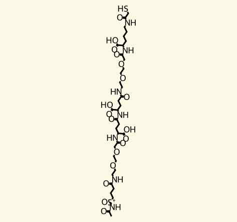 CC(=O)N[S+]([O-])CCCC(=O)NCCOCCOCC(=O)NC(CCC(=O)NC(CCC(=O)NCCOCCOCC(=O)NC(CCCCNC(=O)CS)C(=O)O)C(=O)O)C(=O)O